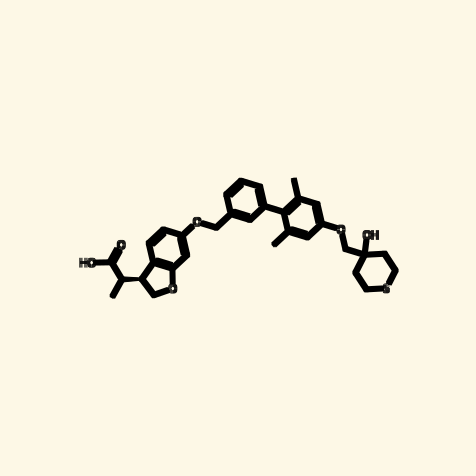 Cc1cc(OCC2(O)CCSCC2)cc(C)c1-c1cccc(COc2ccc3c(c2)OC[C@H]3C(C)C(=O)O)c1